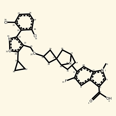 Cn1cc(C(=O)O)c2cc(F)c(N3C4CCC3C3(CC(OCc5c(-c6c(Cl)cccc6Cl)noc5C5CC5)C3)C4)cc21